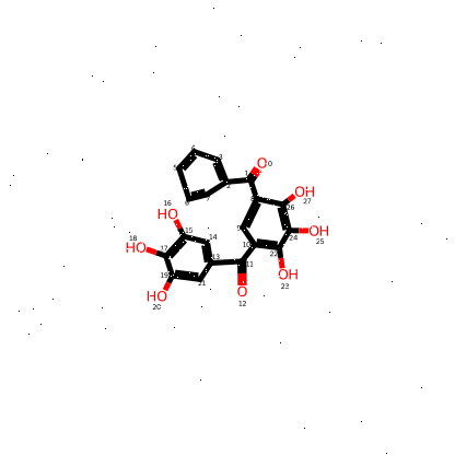 O=C(c1ccccc1)c1cc(C(=O)c2cc(O)c(O)c(O)c2)c(O)c(O)c1O